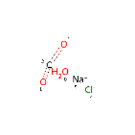 O.O=C=O.[Cl-].[Na+]